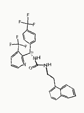 O=C(NCCc1cccc2ccccc12)N[C@@H](c1ccc(C(F)(F)F)cc1)c1ncccc1C(F)(F)F